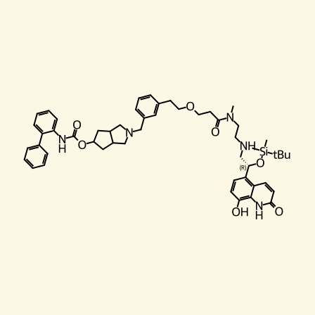 CN(CCNC[C@H](O[Si](C)(C)C(C)(C)C)c1ccc(O)c2[nH]c(=O)ccc12)C(=O)CCOCCc1cccc(CN2CC3CC(OC(=O)Nc4ccccc4-c4ccccc4)CC3C2)c1